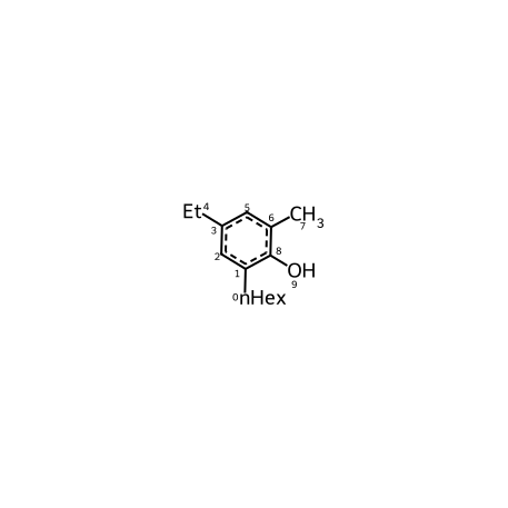 CCCCCCc1cc(CC)cc(C)c1O